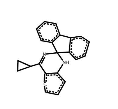 c1ccc2c(c1)NC1(N=C2C2CC2)c2ccccc2-c2ccccc21